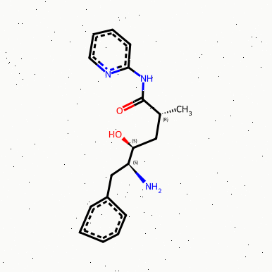 C[C@H](C[C@H](O)[C@@H](N)Cc1ccccc1)C(=O)Nc1ccccn1